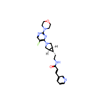 O=C(/C=C/c1cccnc1)NCC[C@@H]1[C@H]2CN(c3nc(N4CCOCC4)ncc3F)C[C@@H]12